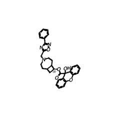 O=C(O[C@H]1CC2CCN(Cc3nc(-c4ccccc4)no3)CCC21)C1(O)c2ccccc2Oc2ccccc21